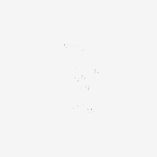 COC(=O)CCC(C)(C#N)N=NC(C)(C#N)CCC(=O)OC